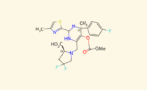 COC(=O)OC1=C(CN2CC(F)(F)C[C@H]2C(=O)O)NC(c2nc(C)cs2)=N[C@@]1(C)c1ccc(F)cc1